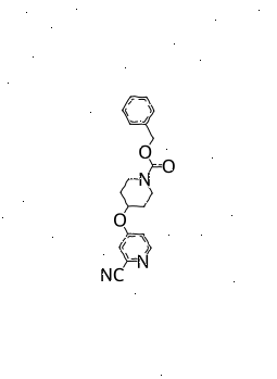 N#Cc1cc(OC2CCN(C(=O)OCc3ccccc3)CC2)ccn1